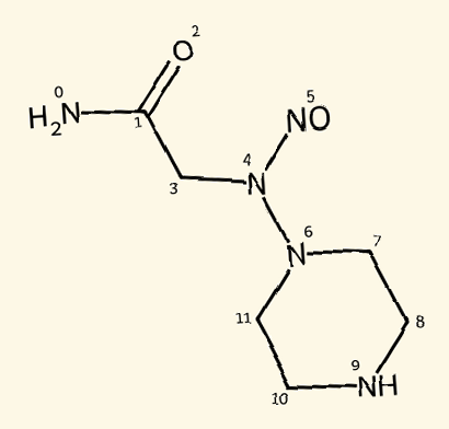 NC(=O)CN(N=O)N1CCNCC1